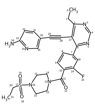 CCc1ncnc(-c2ccc(C(=O)N3CCN(S(=O)(=O)CC)CC3)c(F)c2)c1C#Cc1ccc(N)nc1